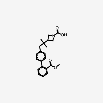 COC(=O)c1ccccc1-c1ccc(CC(C)(C)C2CN(C(=O)O)C2)cc1